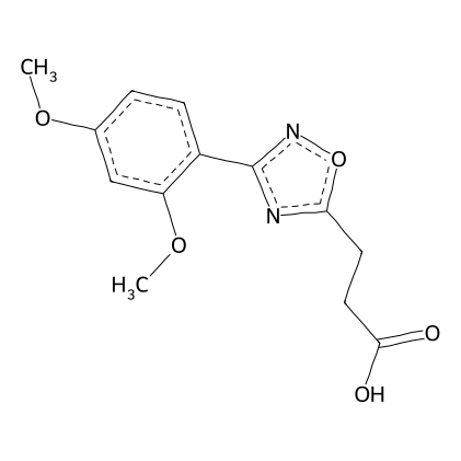 COc1ccc(-c2noc(CCC(=O)O)n2)c(OC)c1